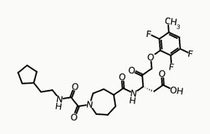 Cc1cc(F)c(F)c(OCC(=O)[C@H](CC(=O)O)NC(=O)C2CCCN(C(=O)C(=O)NCCC3CCCC3)CC2)c1F